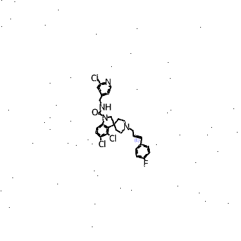 O=C(NCc1ccnc(Cl)c1)N1CC2(CCN(C/C=C/c3ccc(F)cc3)CC2)c2c1ccc(Cl)c2Cl